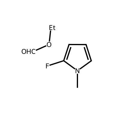 CCOC=O.Cn1cccc1F